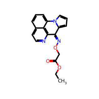 CCOC(=O)CON=c1c2nccc3cccc(c32)n2cccc12